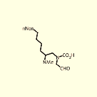 CCCCCCCCCCCCCC(CN(CC=O)C(=O)O)NC